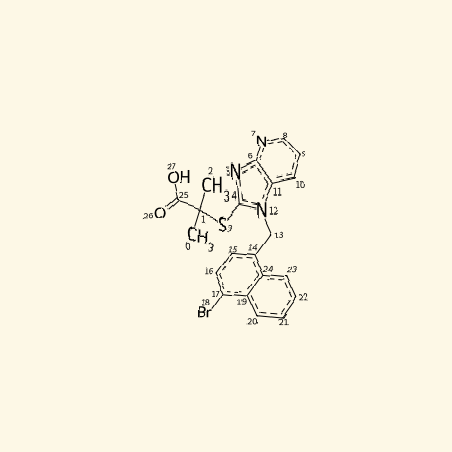 CC(C)(Sc1nc2ncccc2n1Cc1ccc(Br)c2ccccc12)C(=O)O